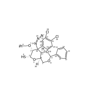 CC(C)O[C@H]1[C@@H](S)O[C@@H]2COC(c3ccccc3)O[C@@H]2C1(N=[N+]=[N-])c1ccc(Cl)c(Cl)c1